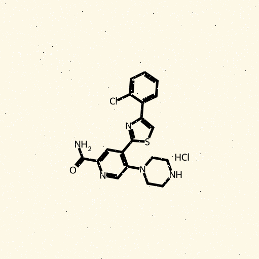 Cl.NC(=O)c1cc(-c2nc(-c3ccccc3Cl)cs2)c(N2CCNCC2)cn1